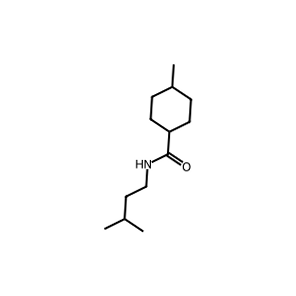 CC(C)CCNC(=O)C1CCC(C)CC1